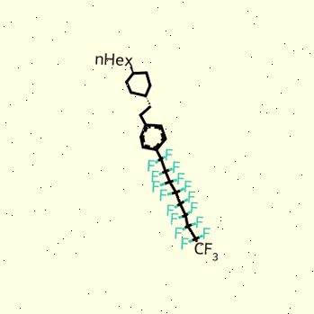 CCCCCC[C@H]1CC[C@H](CCc2ccc(C(F)(F)C(F)(F)C(F)(F)C(F)(F)C(F)(F)C(F)(F)C(F)(F)C(F)(F)C(F)(F)F)cc2)CC1